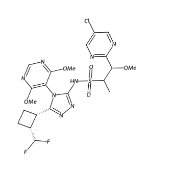 COc1ncnc(OC)c1-n1c(NS(=O)(=O)C(C)C(OC)c2ncc(Cl)cn2)nnc1[C@H]1CC[C@H]1C(F)F